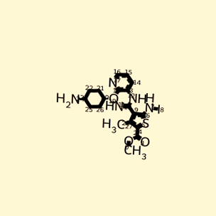 COC(=O)c1sc(NI)c(C(=N)Nc2cccnc2O[C@H]2CC[C@H](N)CC2)c1C